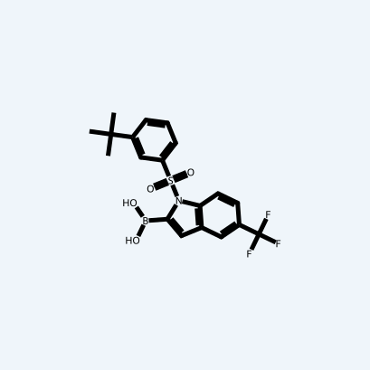 CC(C)(C)c1cccc(S(=O)(=O)n2c(B(O)O)cc3cc(C(F)(F)F)ccc32)c1